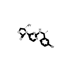 CC(C)[C@H]1COC(=O)N1c1ccnc(N[C@H](C)c2cccc(Br)c2)n1